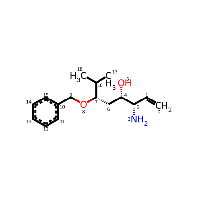 C=C[C@H](N)[C@@H](O)C[C@H](OCc1ccccc1)C(C)C